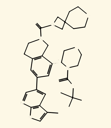 Cc1c[nH]c2ncc(-c3cc4c(c([C@@H]5COCCN5C(=O)OC(C)(C)C)c3)CN(C(=O)N3CC5(CCOCC5)C3)CC4)cc12